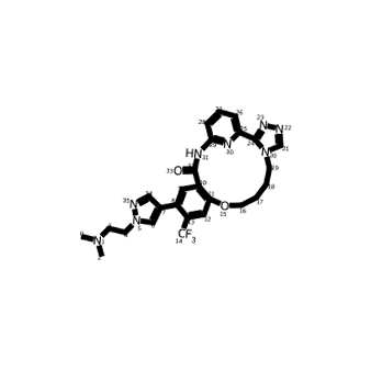 CN(C)CCn1cc(-c2cc3c(cc2C(F)(F)F)OCCCCn2cnnc2-c2cccc(n2)NC3=O)cn1